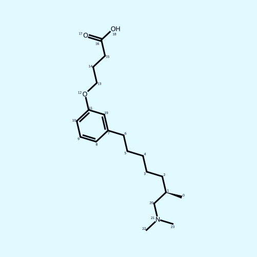 C[C@H](CCCCCc1cccc(OCCCC(=O)O)c1)CN(C)C